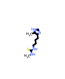 CNC(=S)NCCCCc1nc[nH]c1C